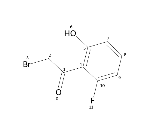 O=C(CBr)c1c(O)cccc1F